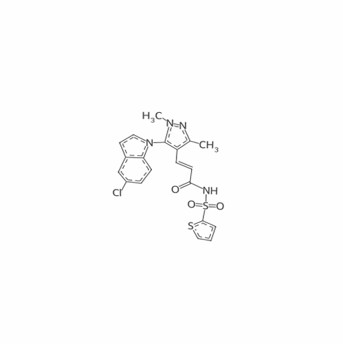 Cc1nn(C)c(-n2ccc3cc(Cl)ccc32)c1/C=C/C(=O)NS(=O)(=O)c1cccs1